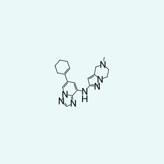 CN1CCn2nc(Nc3cc(C4=CCCCC4)cn4ncnc34)cc2C1